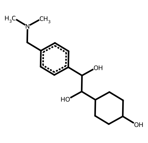 CN(C)Cc1ccc(C(O)C(O)C2CCC(O)CC2)cc1